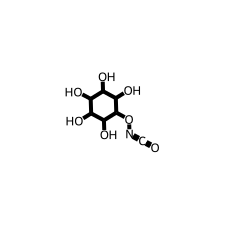 O=C=NOC1C(O)C(O)C(O)C(O)C1O